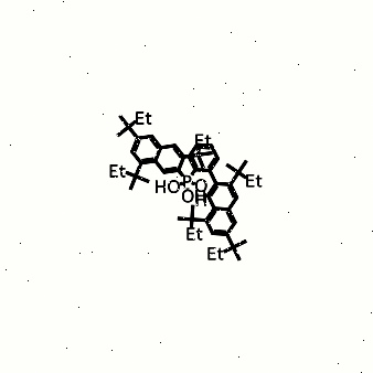 CCC(C)(C)c1cc(C(C)(C)CC)c2cc(-c3ccccc3P(O)(O)(O)c3cc4c(C(C)(C)CC)cc(C(C)(C)CC)cc4cc3C(C)(C)CC)c(C(C)(C)CC)cc2c1